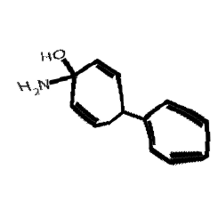 NC1(O)C=CC(c2ccccc2)C=C1